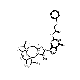 CC(C)[Si]1(C(C)C)OC[C@H]2O[C@@H](n3cnc4c(=O)[nH]c(NC(=O)COc5ccccc5)nc43)[C@@H](O)[C@H]2O[Si](C(C)C)(C(C)C)O1